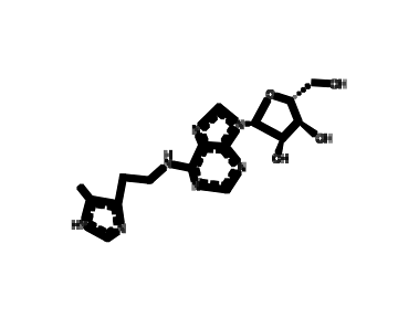 Cc1[nH]cnc1CCNc1ncnc2c1ncn2[C@@H]1O[C@H](CO)[C@@H](O)[C@H]1O